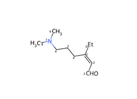 CC/C(=C/C=O)CCCN(C)C